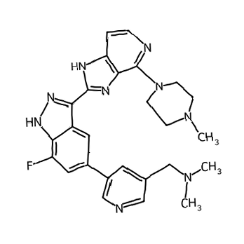 CN(C)Cc1cncc(-c2cc(F)c3[nH]nc(-c4nc5c(N6CCN(C)CC6)nccc5[nH]4)c3c2)c1